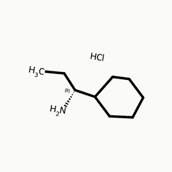 CC[C@@H](N)C1CCCCC1.Cl